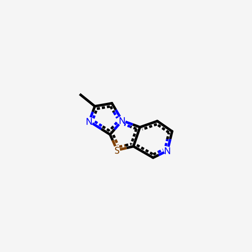 Cc1cn2c(n1)sc1cnccc12